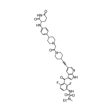 CCN(C)S(=O)(=O)Nc1ccc(F)c(C(=O)c2c[nH]c3ncc(C#CC4CCN(C(=O)CN5CCC(c6ccc(NC7CCC(=O)NC7=O)cc6)CC5)CC4)cc23)c1F